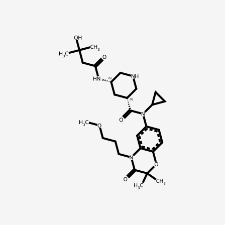 COCCCN1C(=O)C(C)(C)Oc2ccc(N(C(=O)[C@H]3CNC[C@@H](NC(=O)CC(C)(C)O)C3)C3CC3)cc21